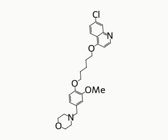 COc1cc(CN2CCOCC2)ccc1OCCCCCOc1ccnc2cc(Cl)ccc12